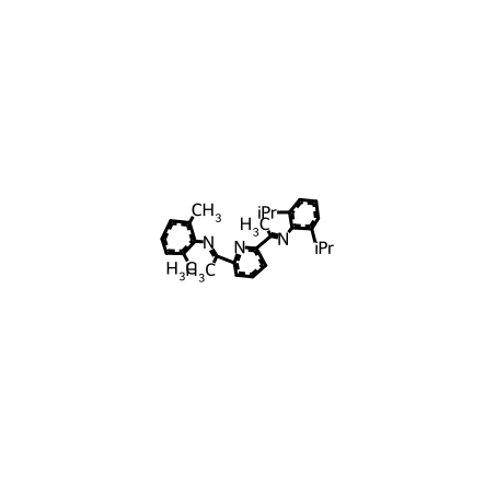 C/C(=N\c1c(C)cccc1C)c1cccc(/C(C)=N/c2c(C(C)C)cccc2C(C)C)n1